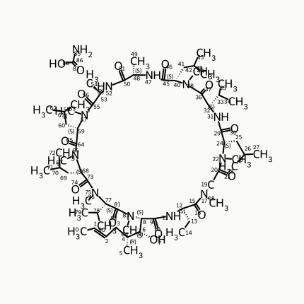 CC=CC[C@@H](C)[C@@H](O)[C@H]1C(=O)N[C@@H](CC)C(=O)N(C)CC(=O)N(C)[C@@H](CC(C)C)C(=O)N[C@@H](C(C)C)C(=O)N(C)[C@@H](CC(C)C)C(=O)N[C@@H](C)C(=O)N[C@H](C)C(=O)N(C)[C@@H](CC(C)C)C(=O)N(C)[C@@H](CC(C)C)C(=O)N(C)[C@@H](C(C)C)C(=O)N1C.NC(=O)O